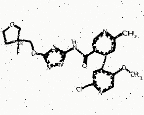 COc1cnc(Cl)cc1-c1cc(C)ncc1C(=O)Nc1nnc(OC[C@]2(F)CCOC2)s1